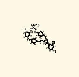 COC(=O)CNc1ccc(Cn2cc(-c3ccc(Cl)cc3Cl)nc2C=Cc2ccc(Oc3ccc(C(F)(F)F)cc3)cc2)cc1